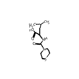 CC(C)CC(NC(=O)N1CCSCC1)C(=O)O